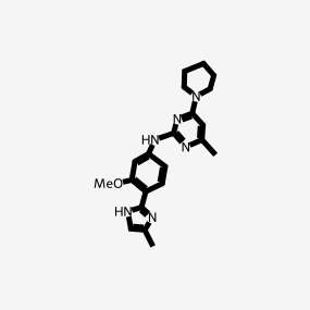 COc1cc(Nc2nc(C)cc(N3CCCCC3)n2)ccc1-c1nc(C)c[nH]1